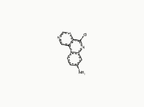 Nc1ccc2c(c1)nc(Cl)c1ccncc12